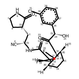 N#C[C@H](C[C@@H]1CCNC1=O)NC(=O)[C@H]1[C@H]2CC[C@H](CC2(F)F)N1C(=O)[C@@H](O)c1cccc(Cl)c1